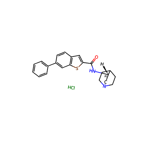 Cl.O=C(N[C@H]1CN2CCC1CC2)c1cc2ccc(-c3ccccc3)cc2s1